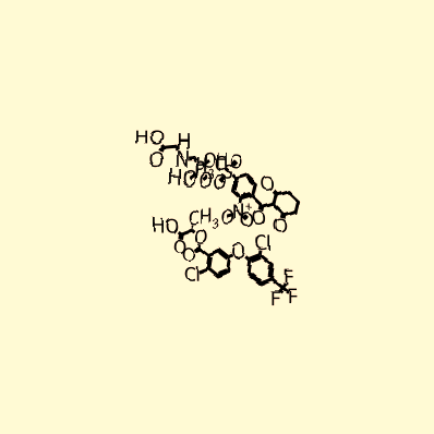 CS(=O)(=O)c1ccc(C(=O)C2C(=O)CCCC2=O)c([N+](=O)[O-])c1.C[C@H](OC(=O)c1cc(Oc2ccc(C(F)(F)F)cc2Cl)ccc1Cl)C(=O)O.O=C(O)CNCP(=O)(O)O